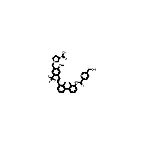 COc1cc(/C=C/c2cccc(-c3cccc(NC(=O)c4ccc(CO)cn4)c3C)c2C)c(C(F)(F)F)cc1CN1CC[C@@H](C(=O)O)C1